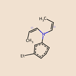 C/C=C\N(/C=C\C)c1cccc(CC)c1